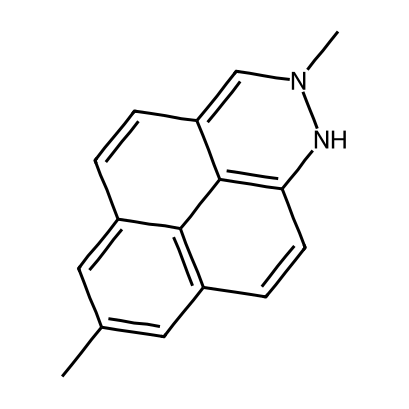 Cc1cc2ccc3cn(C)[nH]c4ccc(c1)c2c34